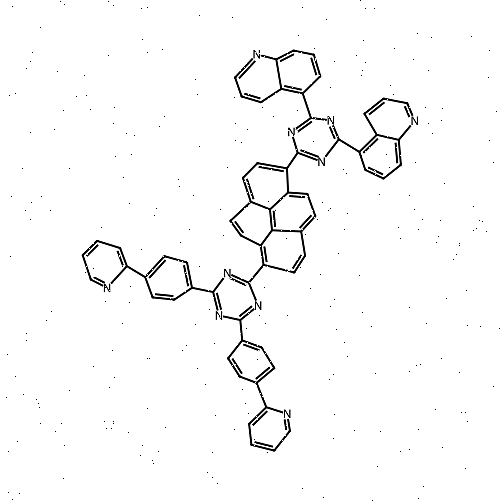 c1ccc(-c2ccc(-c3nc(-c4ccc(-c5ccccn5)cc4)nc(-c4ccc5ccc6c(-c7nc(-c8cccc9ncccc89)nc(-c8cccc9ncccc89)n7)ccc7ccc4c5c76)n3)cc2)nc1